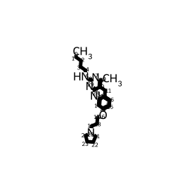 CCCCCNc1nc(C)c(Cc2ccc(OCCCN3CCCC3)cc2)c(N)n1